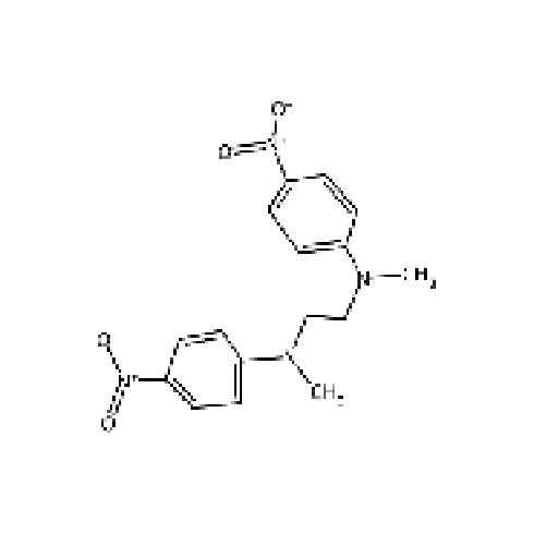 CN(CCN(C)c1ccc([N+](=O)[O-])cc1)c1ccc([N+](=O)[O-])cc1